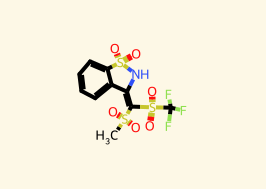 CS(=O)(=O)/C(=C1/NS(=O)(=O)c2ccccc21)S(=O)(=O)C(F)(F)F